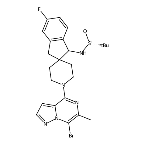 Cc1nc(N2CCC3(CC2)Cc2cc(F)ccc2C3N[S@+]([O-])C(C)(C)C)c2ccnn2c1Br